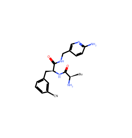 CCC(C)[C@@H](N)C(=O)N[C@@H](Cc1cccc(C#N)c1)C(=O)NCc1ccc(N)nc1